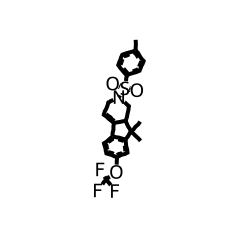 Cc1ccc(S(=O)(=O)N2CC=C3c4ccc(OC(F)(F)F)cc4C(C)(C)C3C2)cc1